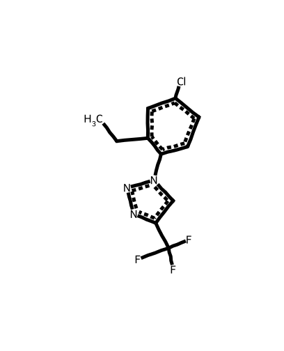 CCc1cc(Cl)ccc1-n1cc(C(F)(F)F)nn1